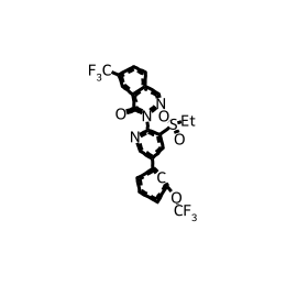 CCS(=O)(=O)c1cc(-c2cccc(OC(F)(F)F)c2)cnc1-n1ncc2ccc(C(F)(F)F)cc2c1=O